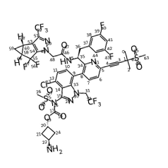 CC(C)(C#Cc1ccc(-c2ccc(Cl)c3c(N(C(=O)O[C@H]4C[C@H](N)C4)S(C)(=O)=O)nn(CC(F)(F)F)c23)c([C@H](Cc2cc(F)cc(F)c2)NC(=O)Cn2nc(C(F)(F)F)c3c2C(F)(F)[C@@H]2C[C@H]32)n1)S(C)(=O)=O